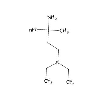 CCCC(C)(N)CCN(CC(F)(F)F)CC(F)(F)F